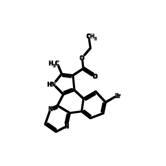 CCOC(=O)c1c(C)[nH]c2c3nccnc3c3ccc(Br)cc3c12